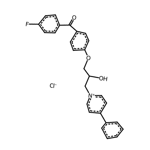 O=C(c1ccc(F)cc1)c1ccc(OCC(O)C[n+]2ccc(-c3ccccc3)cc2)cc1.[Cl-]